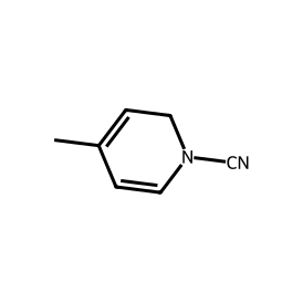 CC1=CCN(C#N)C=C1